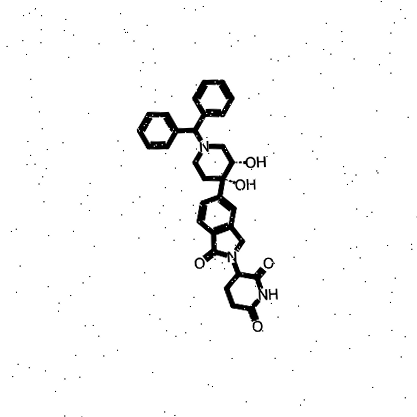 O=C1CCC(N2Cc3cc([C@@]4(O)CCN(C(c5ccccc5)c5ccccc5)C[C@@H]4O)ccc3C2=O)C(=O)N1